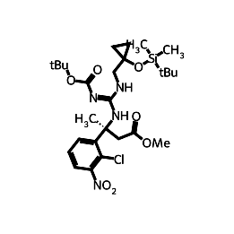 COC(=O)C[C@](C)(NC(=NC(=O)OC(C)(C)C)NCC1(O[Si](C)(C)C(C)(C)C)CC1)c1cccc([N+](=O)[O-])c1Cl